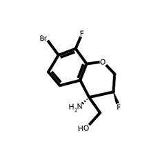 N[C@]1(CO)c2ccc(Br)c(F)c2OC[C@H]1F